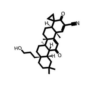 CC1(C)CC[C@]2(CCCO)CC[C@]3(C)[C@H](C(=O)C=C4[C@@]5(C)C=C(C#N)C(=O)C6(CC6)[C@@H]5CC[C@]43C)[C@@H]2C1